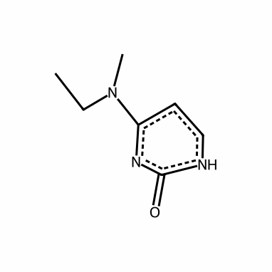 CCN(C)c1cc[nH]c(=O)n1